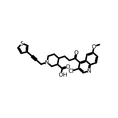 COc1ccc2ncc(Cl)c(C(=O)CCC3CCN(CC#Cc4ccsc4)CC3C(=O)O)c2c1